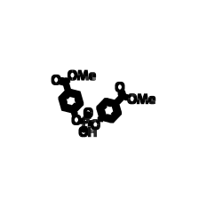 COC(=O)c1ccc(OP(=O)(O)Oc2ccc(C(=O)OC)cc2)cc1